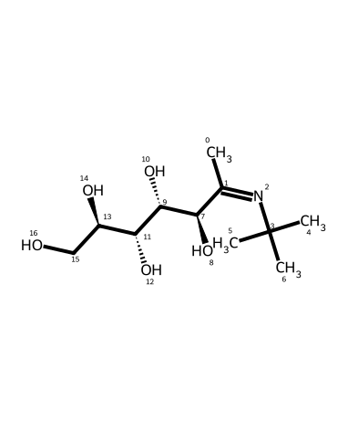 C/C(=N/C(C)(C)C)[C@@H](O)[C@@H](O)[C@H](O)[C@H](O)CO